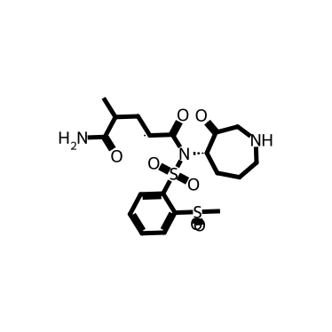 CC(C[CH]C(=O)N([C@H]1CCCNCC1=O)S(=O)(=O)c1ccccc1S(C)(=O)=O)C(N)=O